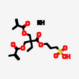 C=C(C)C(=O)OCC(CC)(COC(=O)C(=C)C)C(=O)OCCCS(=O)(=O)O.[KH]